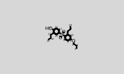 CCCOc1ccc(S(=O)(=O)c2ccc(O)c(CCC)c2)c(CCC)c1